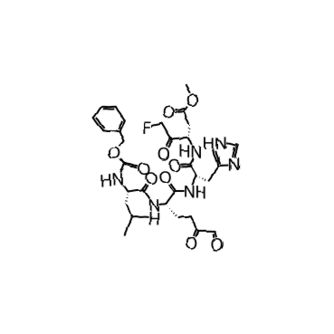 COC(=O)C[C@H](NC(=O)[C@H](Cc1c[nH]cn1)NC(=O)[C@H](CCC(=O)C=O)NC(=O)[C@H](CC(C)C)NC(=O)OCc1ccccc1)C(=O)CF